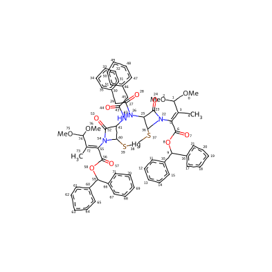 COC(OC)/C(C)=C(/C(=O)OC(c1ccccc1)c1ccccc1)N1C(=O)C(NC(=O)Cc2ccccc2)C1[S][Hg][S]C1C(NC(=O)Cc2ccccc2)C(=O)N1/C(C(=O)OC(c1ccccc1)c1ccccc1)=C(/C)C(OC)OC